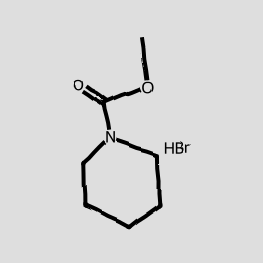 Br.COC(=O)N1CCCCC1